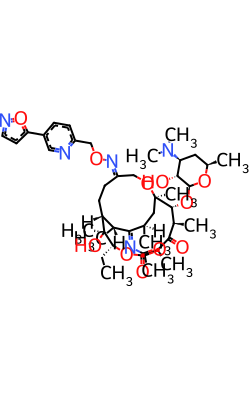 CC[C@H]1OC(=O)[C@H](C)C(=O)[C@H](C)[C@@H](O[C@@H]2O[C@H](C)C[C@H](N(C)C)[C@H]2O)[C@@]2(C)C[C@@H](C)/C(=N\C(C)=O)[C@H](C)[C@@H](CC/C(=N\OCc3ccc(-c4ccno4)cn3)CO2)[C@]1(C)O